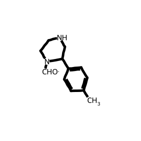 Cc1ccc(C2CNCCN2[C]=O)cc1